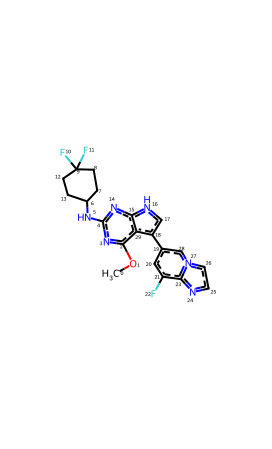 COc1nc(NC2CCC(F)(F)CC2)nc2[nH]cc(-c3cc(F)c4nccn4c3)c12